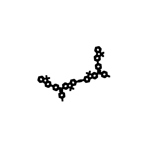 Cc1ccc(N(c2ccc(-c3ccc4c(c3)C(C)(C)c3ccccc3-4)cc2)c2ccc3c(c2)C(C)(C)c2cc(C#Cc4ccc5c(c4)C(C)(C)c4cc(N(c6ccc(C)cc6)c6ccc(-c7ccc8c(c7)C(C)(C)c7ccccc7-8)cc6)ccc4-5)ccc2-3)cc1